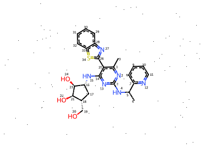 Cc1nc(NC(C)c2ccccn2)nc(N[C@@H]2C[C@H](CO)[C@@H](O)[C@H]2O)c1-c1nc2ccccc2s1